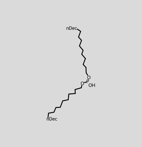 CCCCCCCCCCCCCCCCCCCCOP(O)OCCCCCCCCCCCCCCCCCCCC